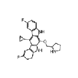 FC1=Cc2c([nH]c3c(OCC4CCCN4)c4[nH]c5ccc(F)cc5c4c(C4CC4)c23)CC1